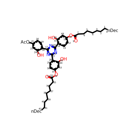 CCCCCCCCCCCCCCCCCC(=O)Oc1ccc(-c2nc(-c3ccc(OC(C)=O)cc3O)nc(-c3ccc(OC(=O)CCCCCCCCCCCCCCCCC)cc3O)n2)c(O)c1